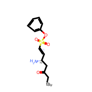 CC(C)(C)CC(=O)C[C@H](N)/C=C/S(=O)(=O)Oc1ccccc1